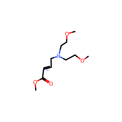 COCCN(C/C=C/C(=O)OC)CCOC